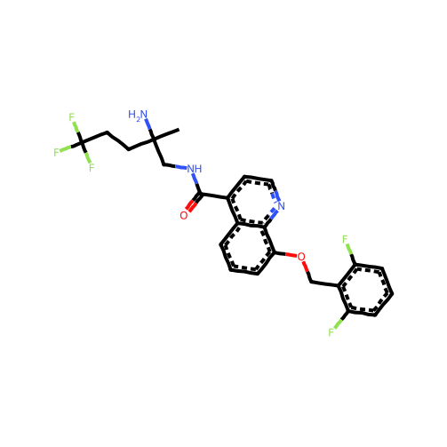 CC(N)(CCC(F)(F)F)CNC(=O)c1ccnc2c(OCc3c(F)cccc3F)cccc12